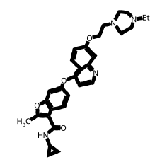 CCN1CCN(CCOc2ccc3c(Oc4ccc5c(C(=O)NC6CC6)c(C)oc5c4)ccnc3c2)CC1